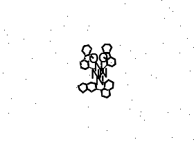 c1ccc2cc3c(cc2c1)-c1cccc2cccc(c12)N3c1nc(-c2cccc3c2oc2ccccc23)nc(-c2cccc3c2oc2ccccc23)n1